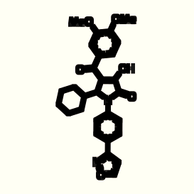 COc1ccc(C(=O)C2=C(O)C(=O)N(c3ccc(-c4ccon4)cc3)C2C2CCCCC2)cc1OC